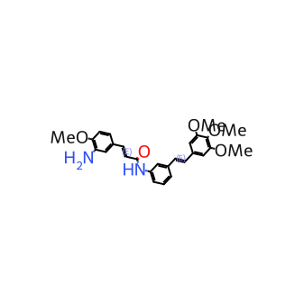 COc1ccc(/C=C/C(=O)Nc2cccc(/C=C/c3cc(OC)c(OC)c(OC)c3)c2)cc1N